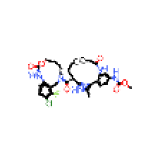 COC(=O)Nc1ccc2c(c1)NC(=O)CCCCC[C@H](C(=O)N1CCCCOC(=O)Nc3ccc(Cl)c(F)c3C1)c1nc-2c(C)[nH]1